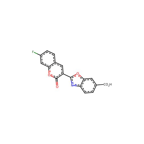 O=C(O)c1ccc2nc(-c3cc4ccc(F)cc4oc3=O)oc2c1